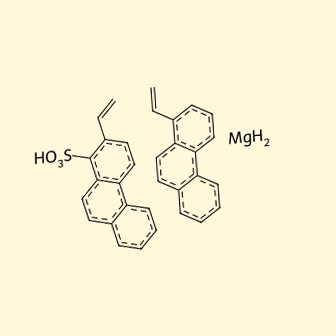 C=Cc1ccc2c(ccc3ccccc32)c1S(=O)(=O)O.C=Cc1cccc2c1ccc1ccccc12.[MgH2]